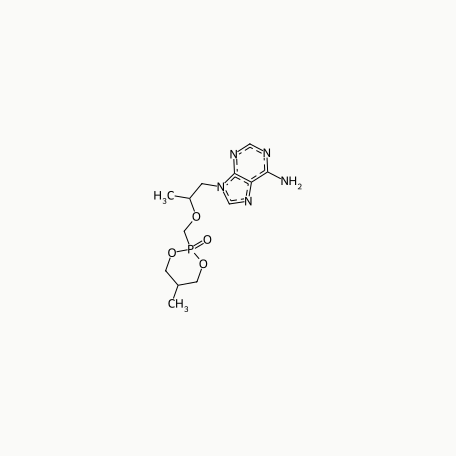 CC1COP(=O)(COC(C)Cn2cnc3c(N)ncnc32)OC1